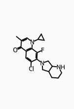 Cc1cn(C2CC2)c2c(F)c(N3CC4CCCNC4C3)c(Cl)cc2c1=O